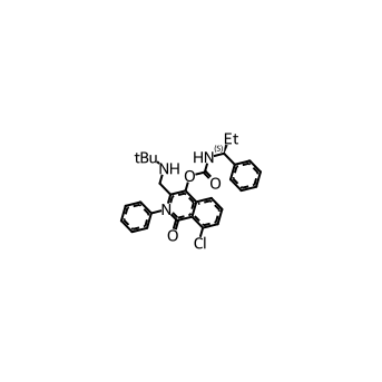 CC[C@H](NC(=O)Oc1c(CNC(C)(C)C)n(-c2ccccc2)c(=O)c2c(Cl)cccc12)c1ccccc1